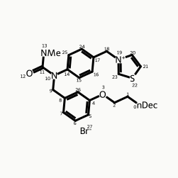 CCCCCCCCCCCCOc1cccc(CN(C(=O)NC)c2ccc(C[n+]3ccsc3)cc2)c1.[Br-]